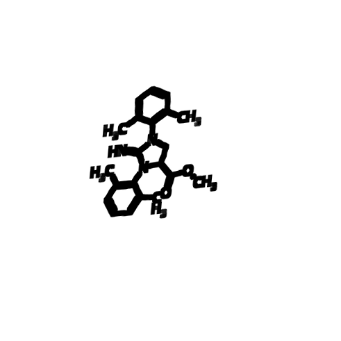 COC(=O)C1CN(c2c(C)cccc2C)C(=N)N1c1c(C)cccc1C